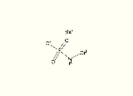 O=S(=O)([O-])NO.[Na+]